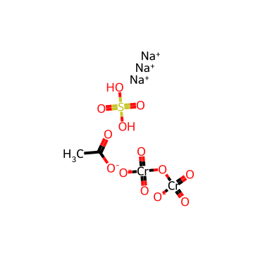 CC(=O)[O-].O=S(=O)(O)O.[Na+].[Na+].[Na+].[O]=[Cr](=[O])([O-])[O][Cr](=[O])(=[O])[O-]